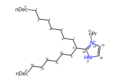 CCCCCCCCCCCCCCCCCC(CCCCCCCCCCCCCCCC)c1[nH]cc[n+]1CCC